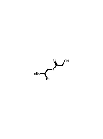 CCCCC(CC)CSC(=O)CC#N